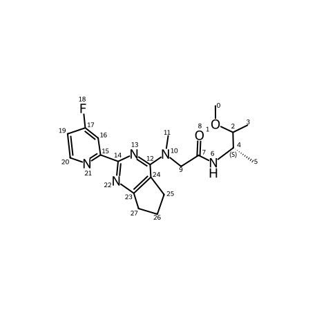 COC(C)[C@H](C)NC(=O)CN(C)c1nc(-c2cc(F)ccn2)nc2c1CCC2